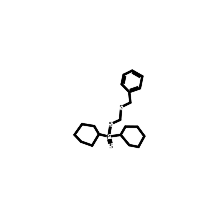 S=P(SCSCc1ccccc1)(C1CCCCC1)C1CCCCC1